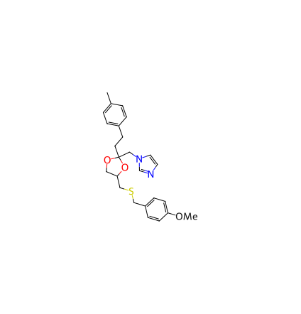 COc1ccc(CSCC2COC(CCc3ccc(C)cc3)(Cn3ccnc3)O2)cc1